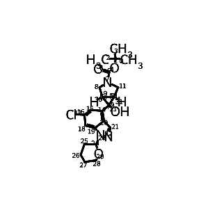 CC(C)(C)OC(=O)N1C[C@@H]2[C@H](C1)[C@@]2(O)c1cc(Cl)cc2c1cnn2C1CCCCO1